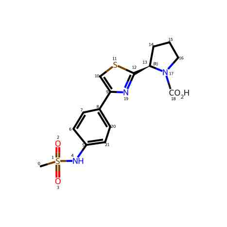 CS(=O)(=O)Nc1ccc(-c2csc([C@H]3CCCN3C(=O)O)n2)cc1